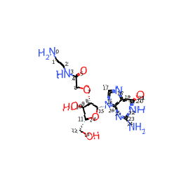 NCCNC(=O)CO[C@H]1C(O)[C@@H](CO)O[C@H]1n1cnc2c(=O)[nH]c(N)nc21